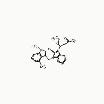 CCOC(CC(=O)O)n1c(=O)n(CC2CN(C)c3cccc(C)c32)c2ccccc21